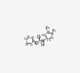 O=C(Nc1ccc(F)c(F)c1)Oc1ccccc1